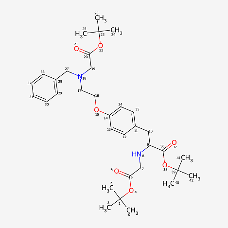 CC(C)(C)OC(=O)CNC(Cc1ccc(OCCN(CC(=O)OC(C)(C)C)Cc2ccccc2)cc1)C(=O)OC(C)(C)C